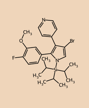 COc1cc(-c2c(-c3ccncc3)c(Br)cn2[Si](C(C)C)(C(C)C)C(C)C)ccc1F